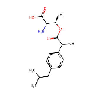 CC(C)Cc1ccc(C(C)C(=O)O[C@H](C)[C@H](N)C(=O)O)cc1